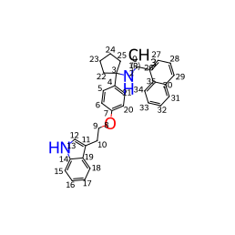 C[C@@H](NC1(c2ccc(OCCc3c[nH]c4ccccc34)cc2)CCCC1)c1cccc2ccccc12